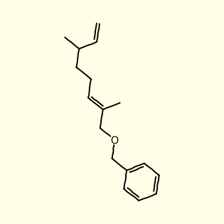 C=CC(C)CC/C=C(\C)COCc1ccccc1